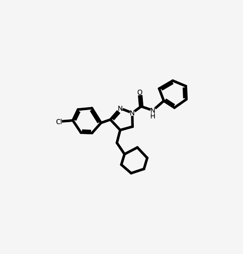 O=C(Nc1ccccc1)N1CC(CC2CCCCC2)C(c2ccc(Cl)cc2)=N1